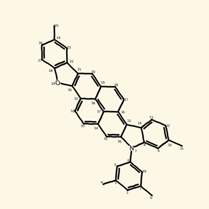 Cc1cc(C)cc(-n2c3cc(C)ccc3c3c4ccc5cc6c7cc(C)ccc7oc6c6ccc(cc32)c4c56)c1